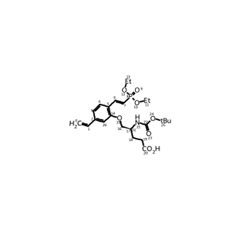 C=Cc1ccc(C=CP(=O)(OCC)OCC)c(OC[C@H](CCC(=O)O)NC(=O)OC(C)(C)C)c1